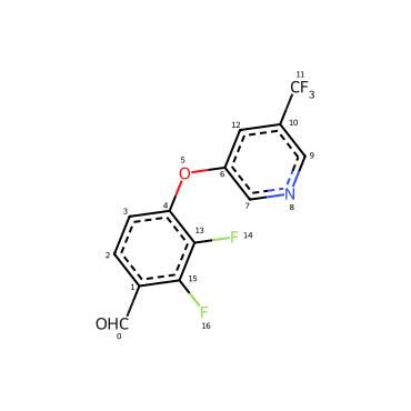 O=Cc1ccc(Oc2cncc(C(F)(F)F)c2)c(F)c1F